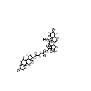 CC1CC2=CC(=O)CCC2(C)C2CCC3(C)C(OC(=O)CCC(=O)OCC(=O)C4(O)C(C)CC5C6CCC7=CC(=O)C=CC7(C)C6(F)C(O)CC54C)CCC3C12